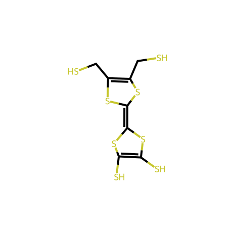 SCC1=C(CS)SC(=C2SC(S)=C(S)S2)S1